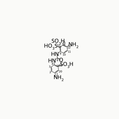 Nc1ccc(NC(=O)Nc2ccc(N)c(S(=O)(=O)O)c2S(=O)(=O)O)c(S(=O)(=O)O)c1